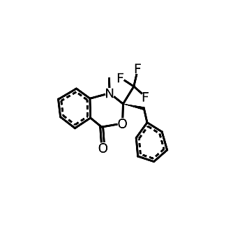 CN1c2ccccc2C(=O)O[C@@]1(Cc1ccccc1)C(F)(F)F